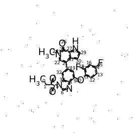 CCS(=O)(=O)n1cnc2c(Oc3ccc(F)cc3F)cc(-c3cn(C)c(=O)c4[nH]ccc34)cc21